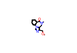 COCc1ncn2c1CN(C)C(=O)c1ccccc1-2